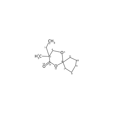 CCC1(C)COC2(CCCCC2)OC1=O